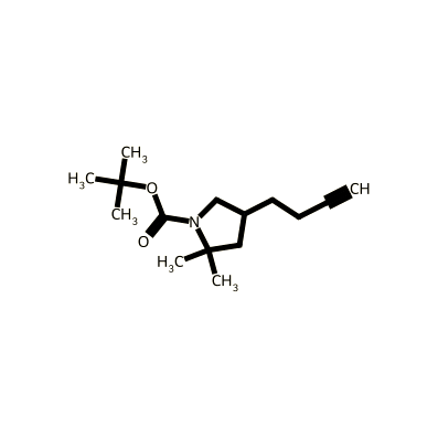 C#CCCC1CN(C(=O)OC(C)(C)C)C(C)(C)C1